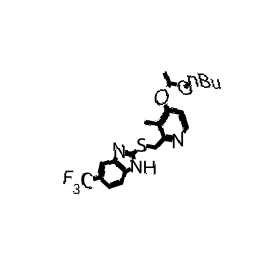 CCCCOC(C)Oc1ccnc(CSc2nc3cc(C(F)(F)F)ccc3[nH]2)c1C